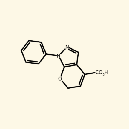 O=C(O)C1=CCOc2c1cnn2-c1ccccc1